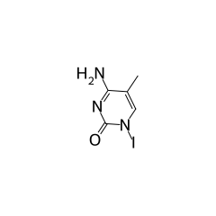 Cc1cn(I)c(=O)nc1N